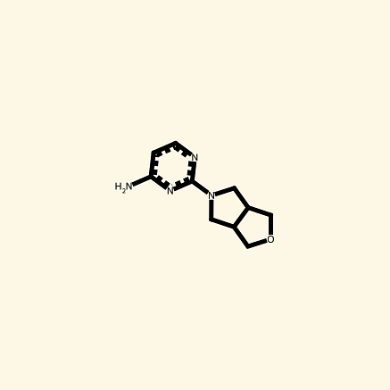 Nc1ccnc(N2CC3COCC3C2)n1